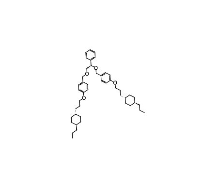 CCC[C@H]1CC[C@H](CCCOc2ccc(COC[C@H](OCc3ccc(OCCC[C@H]4CC[C@H](CCC)CC4)cc3)c3ccccc3)cc2)CC1